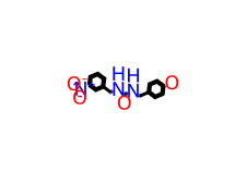 COc1ccc(CNC(=O)NCc2cccc([N+](=O)[O-])c2)cc1